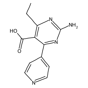 CCc1nc(N)nc(-c2ccncc2)c1C(=O)O